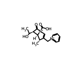 CC(O)[C@H]1C(=O)[N+]2(C(=O)O)C=C(C[n+]3ccccc3)[C@H](C)[C@@H]12